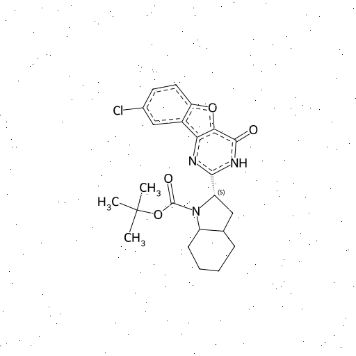 CC(C)(C)OC(=O)N1C2CCCCC2C[C@H]1c1nc2c(oc3ccc(Cl)cc32)c(=O)[nH]1